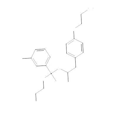 CNCCOc1ccc(CC(C)NC(C)(OCCO)c2cccc(Cl)c2)cc1